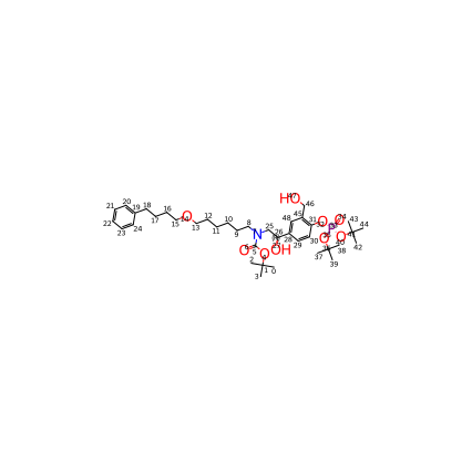 CC(C)(C)OC(=O)N(CCCCCCOCCCCc1ccccc1)C[C@H](O)c1ccc(OP(=O)(OC(C)(C)C)OC(C)(C)C)c(CO)c1